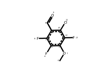 COc1c(F)c(F)c(C=O)c(Cl)c1F